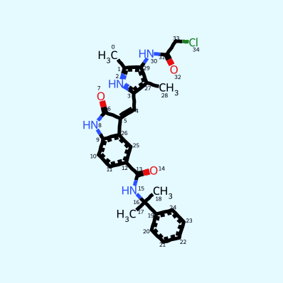 Cc1[nH]c(/C=C2\C(=O)Nc3ccc(C(=O)NC(C)(C)c4ccccc4)cc32)c(C)c1NC(=O)CCl